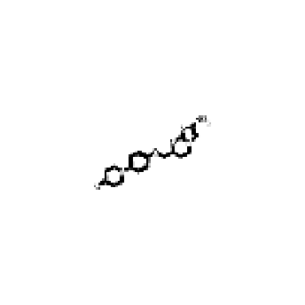 O=C1CCN(c2ccc(OCC3CCn4cc([N+](=O)[O-])nc4O3)cc2)CC1